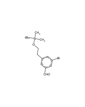 CC(C)(C)[Si](C)(C)OCCc1cc(Br)cc(C=O)c1